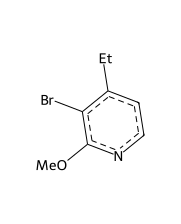 CCc1ccnc(OC)c1Br